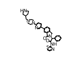 O=C(Nc1nccs1)C(c1ccccc1)N1Cc2ccc(-c3ccc(N4CCN(CC5CCNCC5)CC4)nc3)cc2C1=O